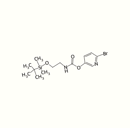 CC(C)(C)[Si](C)(C)OCCNC(=O)Oc1ccc(Br)nc1